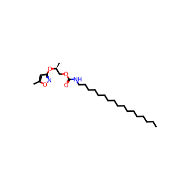 [CH2][C@@H](COC(=O)NCCCCCCCCCCCCCCCCC)Oc1cc(C)on1